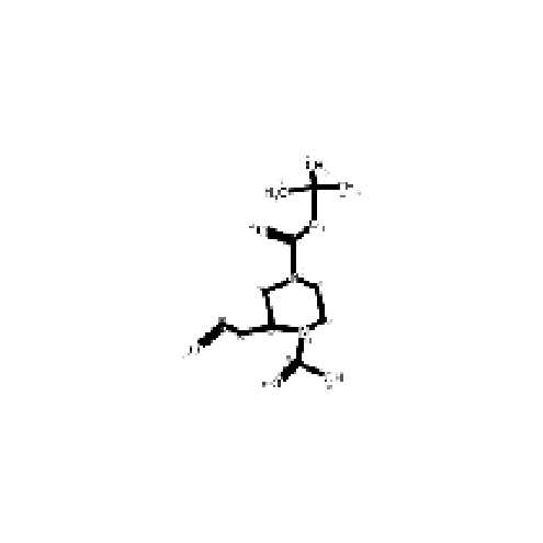 CC(C)(C)OC(=O)N1CCN(C(=O)O)C(CC=O)C1